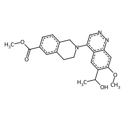 COC(=O)c1ccc2c(c1)CCN(c1cnnc3cc(OC)c(C(C)O)cc13)C2